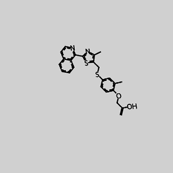 C=C(O)COc1ccc(SCc2sc(-c3nccc4ccccc34)nc2C)cc1C